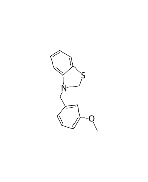 COc1cccc(CN2CSc3ccccc32)c1